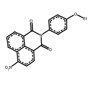 CCOc1ccc(N2C(=O)c3cccc4c([N+](=O)[O-])ccc(c34)C2=O)cc1